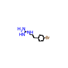 N=C(N)NCC=Cc1ccc(Br)cc1